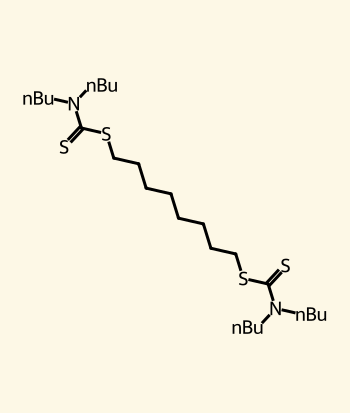 CCCCN(CCCC)C(=S)SCCCCCCCCSC(=S)N(CCCC)CCCC